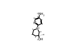 C[C@]1(O)CCCN(c2ccc(N)cn2)C1